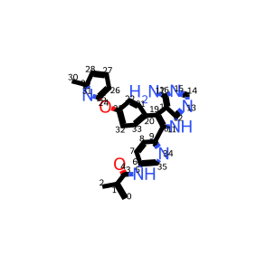 C=C(C)C(=O)Nc1ccc(-c2[nH]c3ncnc(N)c3c2-c2ccc(Oc3cccc(C)n3)cc2)nc1